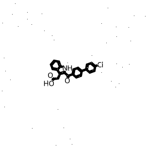 O=C(O)Cc1c(C(=O)c2ccc(-c3ccc(Cl)cc3)cc2)[nH]c2ccccc12